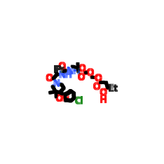 CCC(O)CC(=O)OCOC(=O)OC(C)(C)CNC(=O)NC(C(=O)N1CC[C@](O)(c2ccc(Cl)cc2)C(C)(C)C1)C(C)C